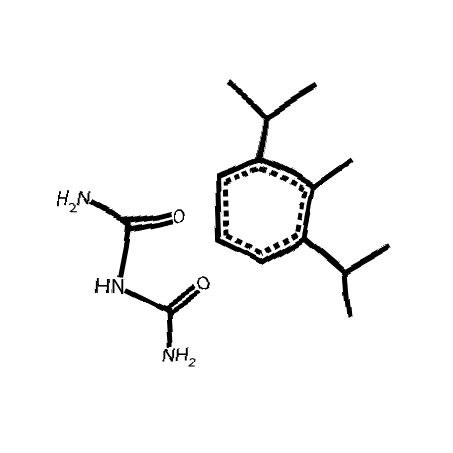 Cc1c(C(C)C)cccc1C(C)C.NC(=O)NC(N)=O